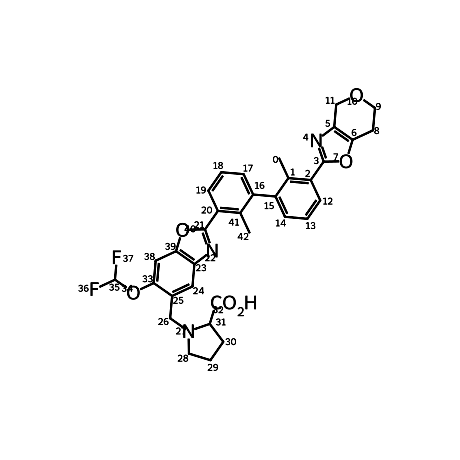 Cc1c(-c2nc3c(o2)CCOC3)cccc1-c1cccc(-c2nc3cc(CN4CCCC4C(=O)O)c(OC(F)F)cc3o2)c1C